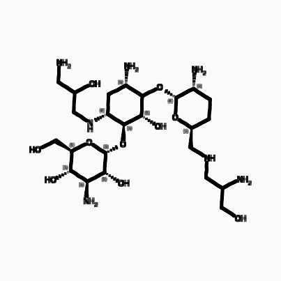 NCC(O)CN[C@@H]1C[C@H](N)C(O[C@H]2O[C@H](CNCC(N)CO)CC[C@H]2N)[C@H](O)[C@H]1O[C@H]1O[C@H](CO)[C@@H](O)[C@H](N)[C@H]1O